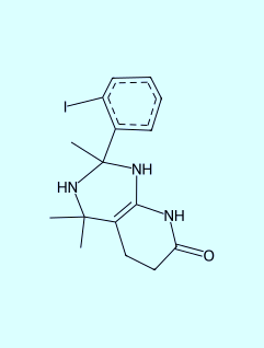 CC1(C)NC(C)(c2ccccc2I)NC2=C1CCC(=O)N2